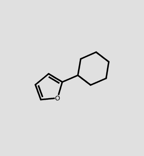 c1coc(C2CCCCC2)c1